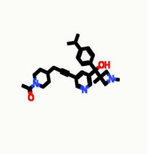 CC(=O)N1CCC(CC#Cc2cncc(C(O)(c3ccc(C(C)C)cc3)C3(C)CN(C)C3)c2)CC1